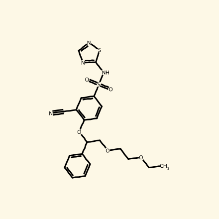 CCOCCOCC(Oc1ccc(S(=O)(=O)Nc2ncns2)cc1C#N)c1ccccc1